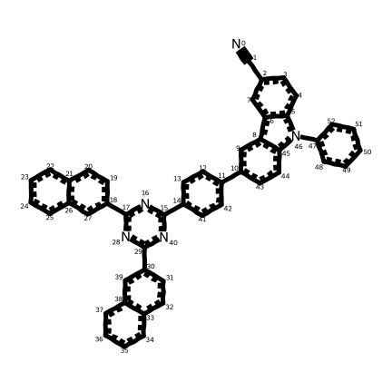 N#Cc1ccc2c(c1)c1cc(-c3ccc(-c4nc(-c5ccc6ccccc6c5)nc(-c5ccc6ccccc6c5)n4)cc3)ccc1n2-c1ccccc1